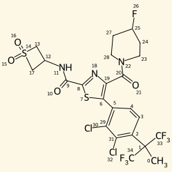 CC(c1ccc(-c2sc(C(=O)NC3CS(=O)(=O)C3)nc2C(=O)N2CCC(F)CC2)c(Cl)c1Cl)(C(F)(F)F)C(F)(F)F